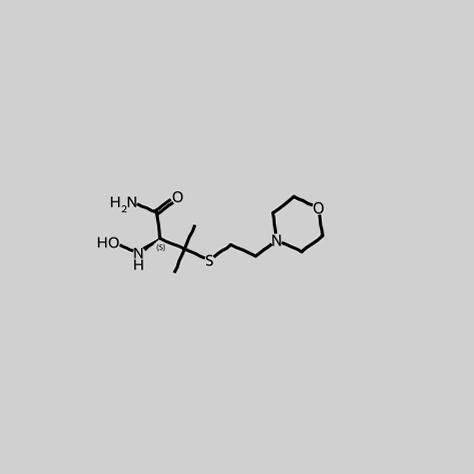 CC(C)(SCCN1CCOCC1)[C@@H](NO)C(N)=O